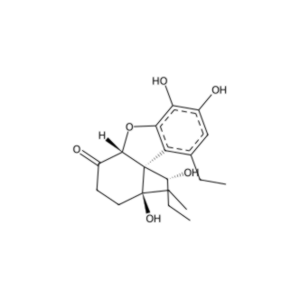 CCc1cc(O)c(O)c2c1[C@@]1([C@H](O)CC)[C@@H](O2)C(=O)CC[C@@]1(O)CC